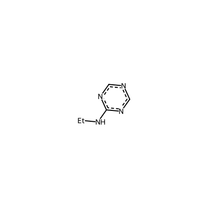 [CH2]CNc1ncncn1